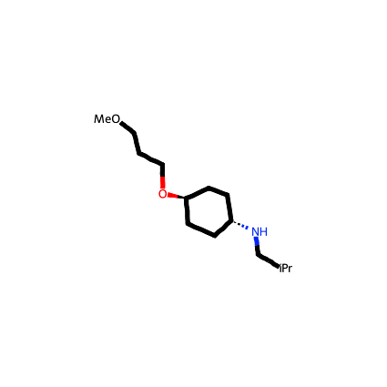 COCCCO[C@H]1CC[C@H](NCC(C)C)CC1